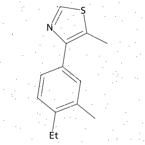 CCc1ccc(-c2n[c]sc2C)cc1C